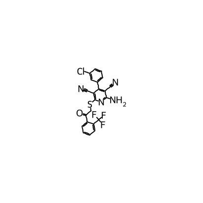 N#Cc1c(N)nc(SCC(=O)c2ccccc2C(F)(F)F)c(C#N)c1-c1cccc(Cl)c1